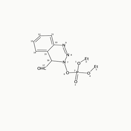 CCOP(=O)(OCC)ON1N=Nc2ccccc2C1C=O